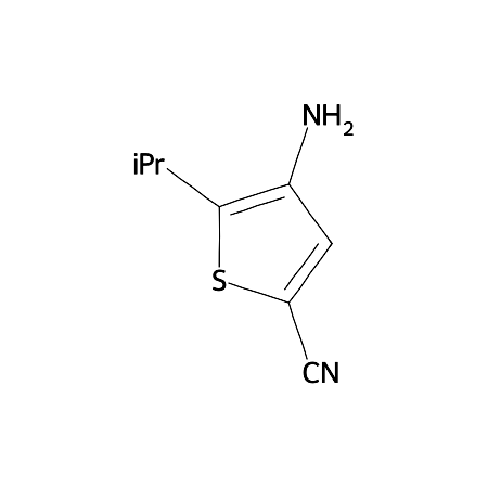 CC(C)c1sc(C#N)cc1N